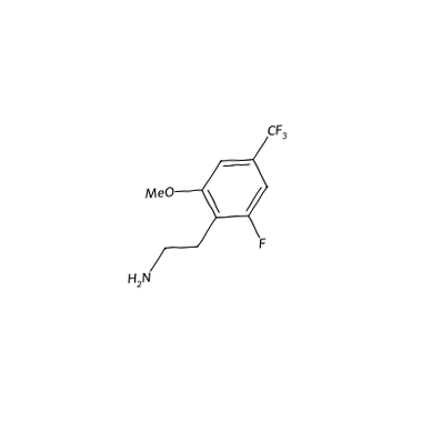 COc1cc(C(F)(F)F)cc(F)c1CCN